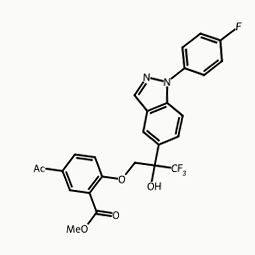 COC(=O)c1cc(C(C)=O)ccc1OCC(O)(c1ccc2c(cnn2-c2ccc(F)cc2)c1)C(F)(F)F